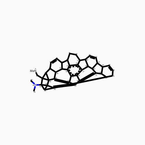 CNCC12C3C4C=CC5C6CCC7c8c6c6c9c%10c8C8C7C=CC7C%11C=CC%12C%13C%14=C(C%10=C(C%11%13)C78)C9=C(C4C65)C31C%141C%12C21N(C)C